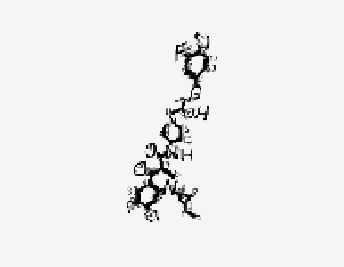 C=CC1CC1n1cc(C(=O)NC2CCN(C[C@H](O)COc3ccc(Cl)c(F)c3)CC2)c(=O)c2cc(F)c(Cl)cc21